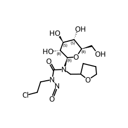 O=NN(CCCl)C(=O)N(CC1CCCO1)[C@@H]1O[C@H](CO)[C@@H](O)[C@H](O)[C@H]1O